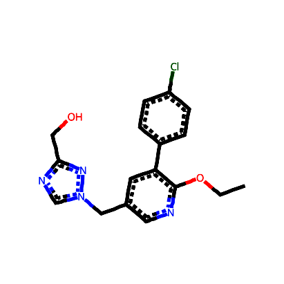 CCOc1ncc(Cn2cnc(CO)n2)cc1-c1ccc(Cl)cc1